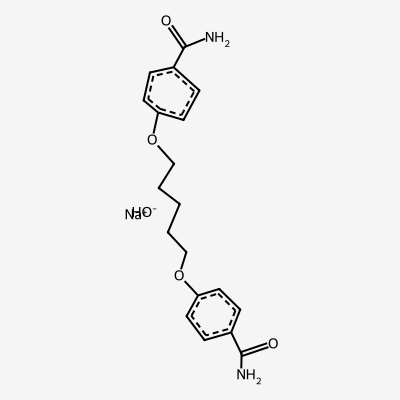 NC(=O)c1ccc(OCCCCCOc2ccc(C(N)=O)cc2)cc1.[Na+].[OH-]